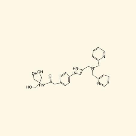 O=C(Cc1ccc(-n2cc(CN(Cc3ccccn3)Cc3ccccn3)[nH]2)cc1)NC(CO)(CO)CO